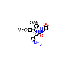 COc1ccc(C(C(=O)NC(CCc2ccnc(N)c2)C(=O)NCc2ccc3c(c2)OCO3)c2ccc(OC)cc2)cc1